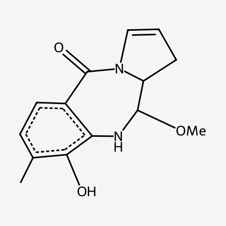 COC1Nc2c(ccc(C)c2O)C(=O)N2C=CCC12